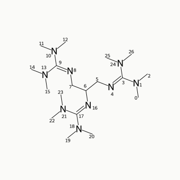 CN(C)C(=NCC(CN=C(N(C)C)N(C)C)N=C(N(C)C)N(C)C)N(C)C